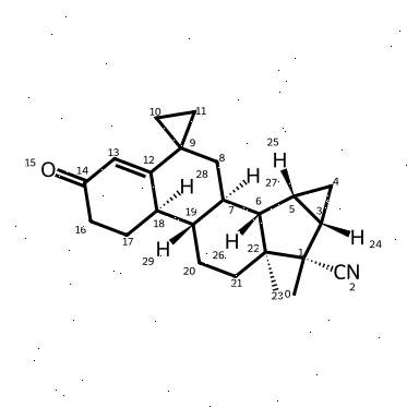 C[C@]1(C#N)[C@H]2C[C@H]2[C@H]2[C@@H]3CC4(CC4)C4=CC(=O)CC[C@@H]4[C@H]3CC[C@@]21C